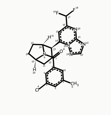 Cc1cc(Cl)cc(C(=O)N2[C@H]3CC[C@H](c4cc(C(F)F)nc5ncnn45)[C@@H]2CC3)c1